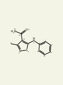 Cc1nsc(Nc2ccccc2)c1C(N)=O